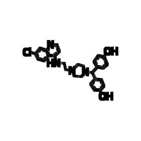 Oc1ccc(C(c2ccc(O)cc2)N2CCN(CCNc3ccnc4cc(Cl)ccc34)CC2)cc1